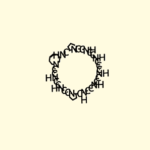 C1=CCC2CN(CC1)CCNCCNCCN1CCCC1CNCCNCCNCCCNCCNCCN1CCCC1CN2